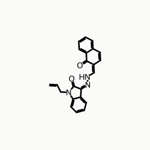 C=CCN1C(=O)C(=NNC=C2C=Cc3ccccc3C2=O)c2ccccc21